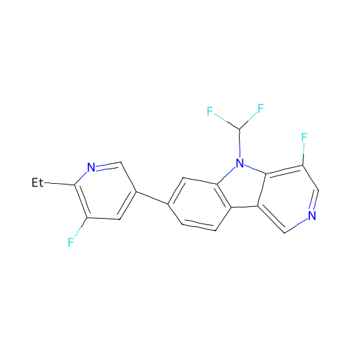 CCc1ncc(-c2ccc3c4cncc(F)c4n(C(F)F)c3c2)cc1F